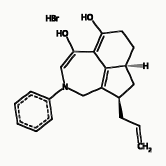 Br.C=CC[C@@H]1C[C@@H]2CCC(O)=C3C(O)=CN(c4ccccc4)CC1=C32